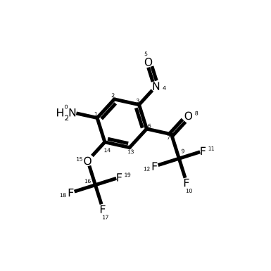 Nc1cc(N=O)c(C(=O)C(F)(F)F)cc1OC(F)(F)F